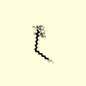 CCCCCCCC/C=C\CCCCCCCC(=O)C(C[N+](C)(C)C)OP(=O)(O)O